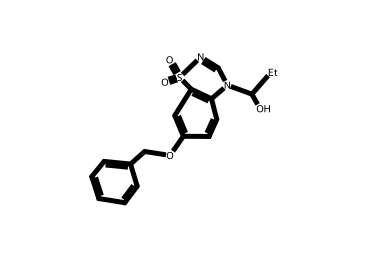 [CH2]CC(O)N1C=NS(=O)(=O)c2cc(OCc3ccccc3)ccc21